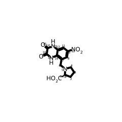 O=C(O)[C@@H]1CCCN1Cc1cc([N+](=O)[O-])cc2[nH]c(=O)c(=O)[nH]c12